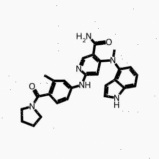 Cc1cc(Nc2cc(N(C)c3cccc4[nH]ccc34)c(C(N)=O)cn2)ccc1C(=O)N1CCCC1